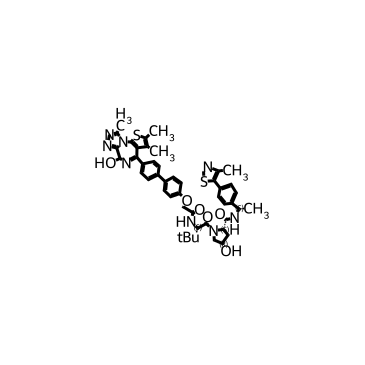 Cc1ncsc1-c1ccc([C@H](C)NC(=O)[C@@H]2C[C@@H](O)CN2C(=O)[C@@H](NC(=O)COc2ccc(-c3ccc(C4=NC(O)c5nnc(C)n5-c5sc(C)c(C)c54)cc3)cc2)C(C)(C)C)cc1